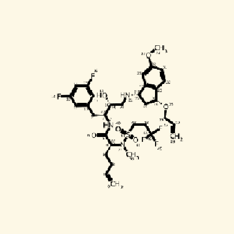 C=CCC[C@@H](C(=O)N[C@@H](Cc1cc(F)cc(F)c1)[C@H](O)CN[C@H]1C[C@@H](OCC=C)c2ccc(OC)cc21)N(C)S(=O)(=O)CCC(F)(F)F